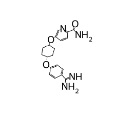 N=C(N)c1ccc(O[C@H]2CC[C@H](Oc3ccc(C(N)=O)nc3)CC2)cc1